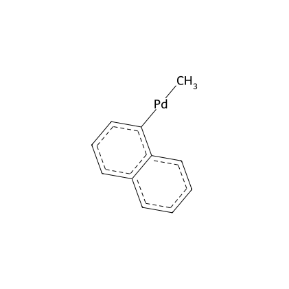 [CH3][Pd][c]1cccc2ccccc12